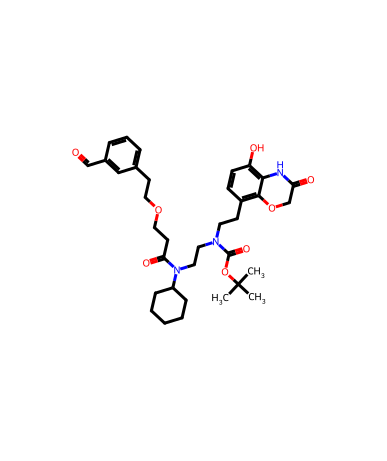 CC(C)(C)OC(=O)N(CCc1ccc(O)c2c1OCC(=O)N2)CCN(C(=O)CCOCCc1cccc(C=O)c1)C1CCCCC1